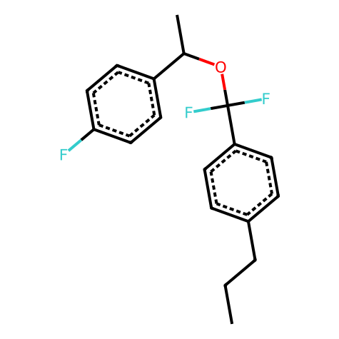 CCCc1ccc(C(F)(F)OC(C)c2ccc(F)cc2)cc1